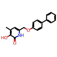 Cc1cc(COc2ccc(-c3ccccc3)cc2)[nH]c(=O)c1O